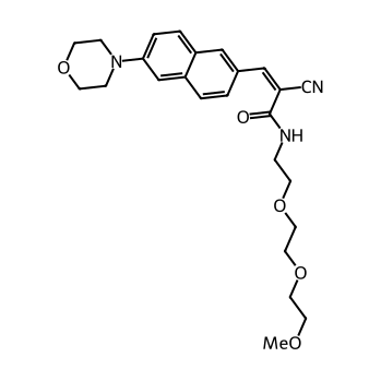 COCCOCCOCCNC(=O)/C(C#N)=C\c1ccc2cc(N3CCOCC3)ccc2c1